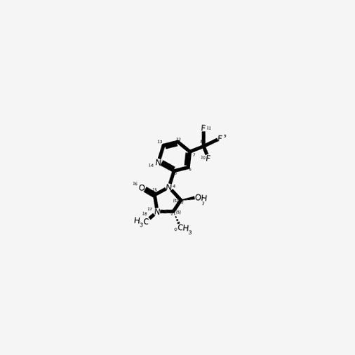 C[C@H]1[C@H](O)N(c2cc(C(F)(F)F)ccn2)C(=O)N1C